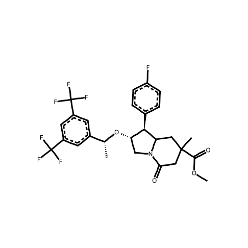 COC(=O)C1(C)CC(=O)N2C[C@H](O[C@H](C)c3cc(C(F)(F)F)cc(C(F)(F)F)c3)[C@@H](c3ccc(F)cc3)C2C1